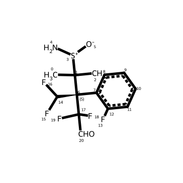 CC(C)([S+](N)[O-])[C@@](c1ccccc1F)(C(F)F)C(F)(F)C=O